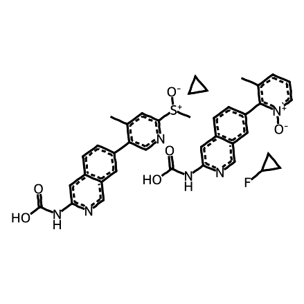 C1CC1.Cc1cc([S+](C)[O-])ncc1-c1ccc2cc(NC(=O)O)ncc2c1.Cc1ccc[n+]([O-])c1-c1ccc2cc(NC(=O)O)ncc2c1.FC1CC1